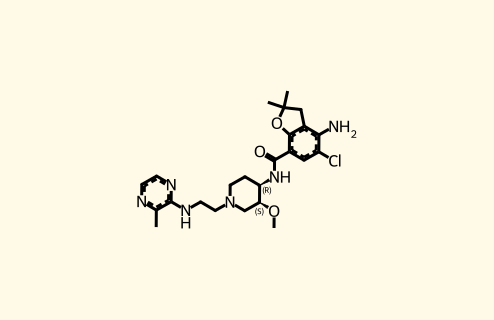 CO[C@H]1CN(CCNc2nccnc2C)CC[C@H]1NC(=O)c1cc(Cl)c(N)c2c1OC(C)(C)C2